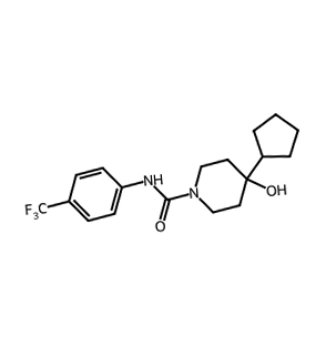 O=C(Nc1ccc(C(F)(F)F)cc1)N1CCC(O)(C2CCCC2)CC1